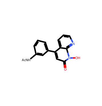 CC(=O)Nc1cccc(-c2cc(=O)n(O)c3ncccc23)c1